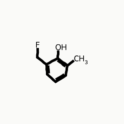 Cc1cccc(CF)c1O